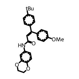 COc1ccc(/C(=C\C(=O)Nc2ccc3c(c2)OCCO3)c2ccc(C(C)(C)C)cc2)cc1